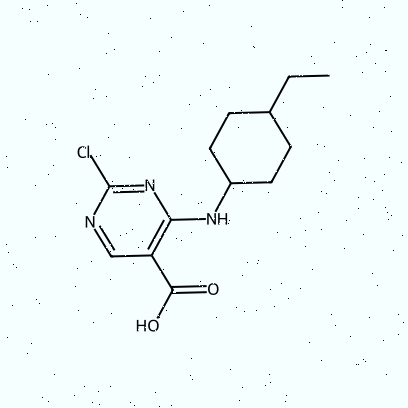 CCC1CCC(Nc2nc(Cl)ncc2C(=O)O)CC1